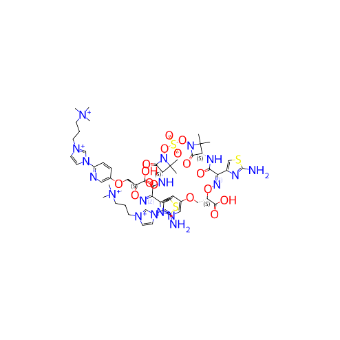 CC1(C)[C@H](NC(=O)/C(=N\O[C@@H](COc2ccc(-n3cc[n+](CCC[N+](C)(C)C)c3)nc2)C(=O)O)c2csc(N)n2)C(=O)N1OS(=O)(=O)ON1C(=O)[C@@H](NC(=O)/C(=N\O[C@@H](COc2ccc(-n3cc[n+](CCC[N+](C)(C)C)c3)nc2)C(=O)O)c2csc(N)n2)C1(C)C